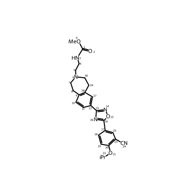 COC(=O)NCCN1CCc2ccc(-c3noc(-c4ccc(OC(C)C)c(C#N)c4)n3)cc2CC1